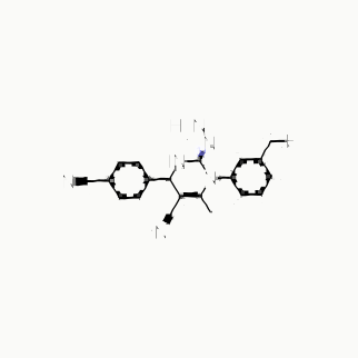 CC1=C(C#N)C(c2ccc(C#N)cc2)N/C(=N\N)N1c1cccc(CF)c1